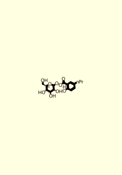 CCCc1ccc(O)c(C(=O)OOC2O[C@H](CO)[C@@H](O)[C@H](O)[C@H]2O)c1